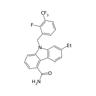 CCc1c[c]c2c3c(C(N)=O)cccc3n(Cc3cccc(C(F)(F)F)c3F)c2c1